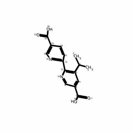 CC(C)c1cc(C(=O)O)cnc1-c1ccc(C(=O)O)cn1